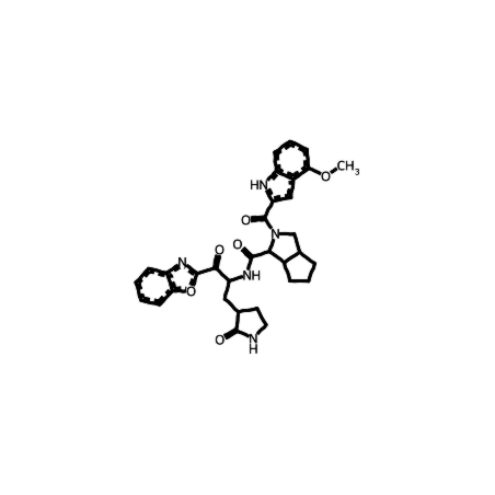 COc1cccc2[nH]c(C(=O)N3CC4CCCC4C3C(=O)NC(CC3CCNC3=O)C(=O)c3nc4ccccc4o3)cc12